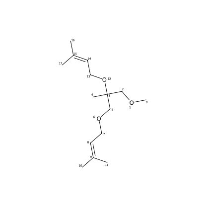 COCC(C)(COCC=C(C)C)OCC=C(C)C